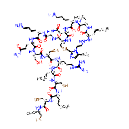 Cc1ncc([N+](=O)[O-])n1CCNN[C@@H](CCC(=O)O)C(=O)N[C@@H](CC(=O)O)C(=O)N[C@@H](CCCCN)C(=O)N[C@@H](CC(N)=O)C(=O)N[C@@H](CS)C(=O)NCC(=O)N[C@@H](CCCCN)C(=O)N[C@@H](CCC(N)=O)C(=O)N[C@@H](CO)C(=O)N[C@@H](CS)C(=O)N[C@@H](CCCNC(=N)N)C(=O)N[C@@H](CC(=O)O)C(=O)N[C@@H](CS)C(=O)N[C@@H](CCC(=O)O)C(=O)N[C@@H](CS)C(=O)N[C@H](C=O)CS